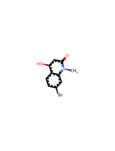 CC(C)c1ccc2c(O)cc(=O)n(C)c2c1